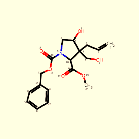 C=CCC1(CO)C(O)CN(C(=O)OCc2ccccc2)C1C(=O)OC